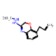 C=CCc1cccc2c1OCC(NNC(=O)OCC)=N2